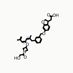 C=C(C)/C=C(\C=C(\C)Cc1cccc(COc2ccc3c(c2)OCC3CC(=O)O)c1)OC1CN(C(=O)CO)C1